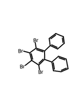 Brc1c(Br)c(Br)c(-c2ccccc2)c(-c2ccccc2)c1Br